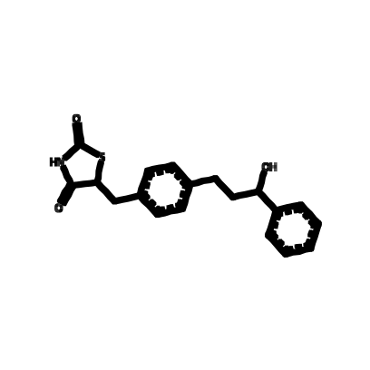 O=C1NC(=O)C(Cc2ccc(CCC(O)c3ccccc3)cc2)S1